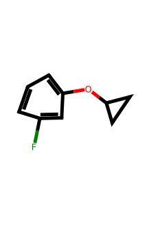 Fc1cccc(OC2CC2)c1